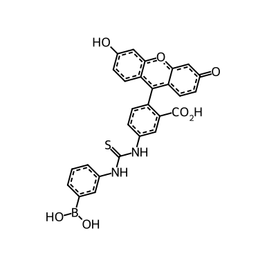 O=C(O)c1cc(NC(=S)Nc2cccc(B(O)O)c2)ccc1-c1c2ccc(=O)cc-2oc2cc(O)ccc12